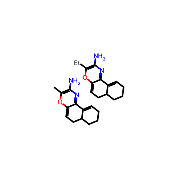 CC1=C(N)N=C2C(=CCC3CCCC=C23)O1.CCC1=C(N)N=C2C(=CCC3CCCC=C23)O1